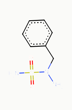 NN(Cc1ccccc1)S(N)(=O)=O